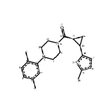 Cc1ccc(C)c(N2CCN(C(=O)[C@H]3CC3c3ccc(C)s3)CC2)c1